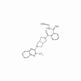 N=CNC(=N)c1ccccc1C(=O)N1CC2CN(c3nc4ccccc4nc3C(F)(F)F)CC2C1